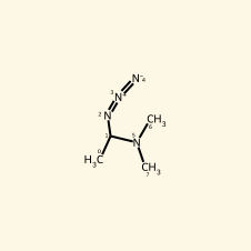 CC(N=[N+]=[N-])N(C)C